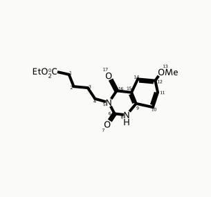 CCOC(=O)CCCCn1c(=O)[nH]c2ccc(OC)cc2c1=O